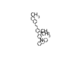 Cc1ccc2cc(/C=C/c3ccc4c(c3)C(C)(C)c3cc(N5C6=C(C=CCC6)Cc6ccccc65)ccc3-4)ccc2c1